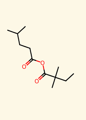 CCC(C)(C)C(=O)OC(=O)CCC(C)C